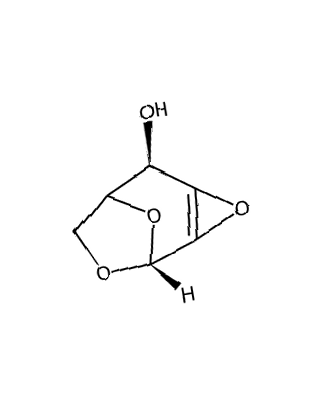 O[C@H]1C2=C(O2)[C@@H]2OCC1O2